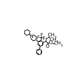 CCOC(=O)C(CC(C)C)c1cc(-c2ccccc2)cc(C2CCN(C3CCCCC3)CC2)c1C(F)(F)F